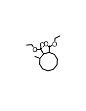 CCOC(=O)C1CCCCCCCC(C)C1C(=O)OCC